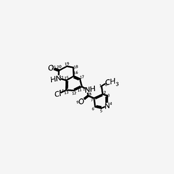 CCc1cnccc1C(=O)Nc1cc(Cl)c2c(c1)CCC(=O)N2